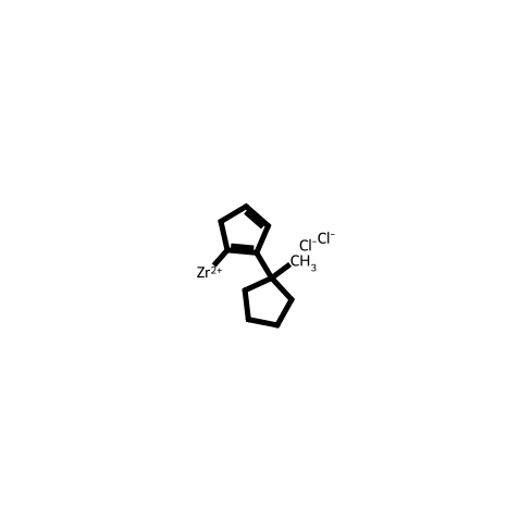 CC1(C2=[C]([Zr+2])CC=C2)CCCC1.[Cl-].[Cl-]